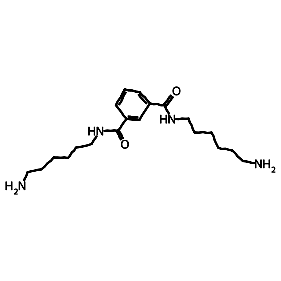 NCCCCCCNC(=O)c1cccc(C(=O)NCCCCCCN)c1